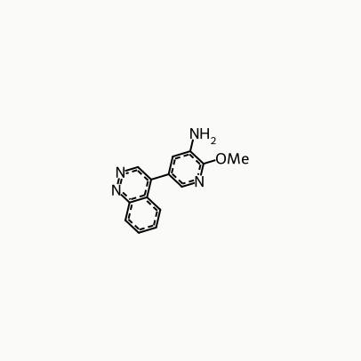 COc1ncc(-c2cnnc3ccccc23)cc1N